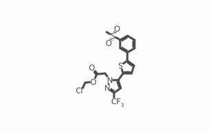 CS(=O)(=O)c1cccc(-c2ccc(-c3cc(C(F)(F)F)nn3CC(=O)OCCl)s2)c1